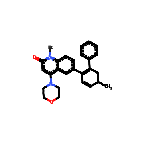 CCn1c(=O)cc(N2CCOCC2)c2cc(C3=C(c4ccccc4)CC(C)C=C3)ccc21